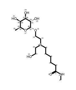 CNC(=O)CCCCCN(CCO)CCO[C@@H]1O[C@@H](C)[C@@H](O)[C@@H](O)[C@@H]1O